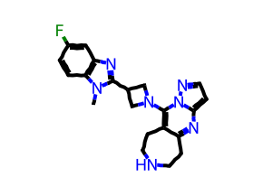 Cn1c(C2CN(c3c4c(nc5ccnn35)CCNCC4)C2)nc2cc(F)ccc21